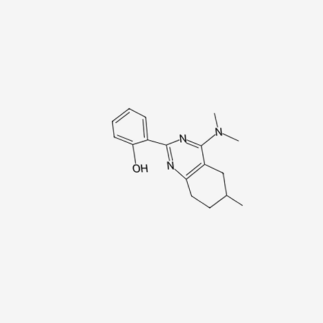 CC1CCc2nc(-c3ccccc3O)nc(N(C)C)c2C1